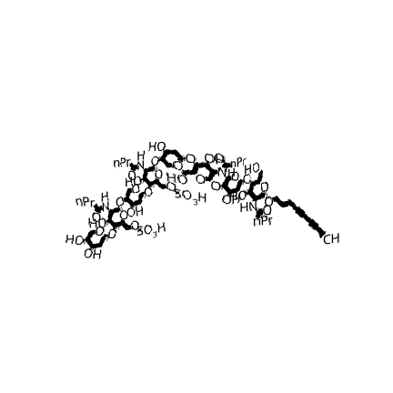 C#CC#CC#CCCCO[C@@H]1OC(CO)[C@@H](O[C@H]2C[C@H](O)[C@H](OC3OC(CO)[C@@H](O[C@H]4C[C@H](O)[C@H](O[C@H]5OC(COS(=O)(=O)O)[C@@H](O[C@H]6C[C@H](O)C(O[C@@H]7OC(COS(=O)(=O)O)[C@@H](O[C@H]8C[C@H](O)[C@H](O)CO8)[C@H](O)C7NC(=O)CCC)CO6)[C@H](O)C5NC(=O)CCC)CO4)[C@H](O)C3NC(=O)CCC)CO2)[C@H](O)C1NC(=O)CCC